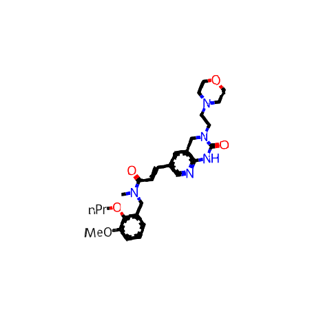 CCCOc1c(CN(C)C(=O)/C=C/c2cnc3c(c2)CN(CCN2CCOCC2)C(=O)N3)cccc1OC